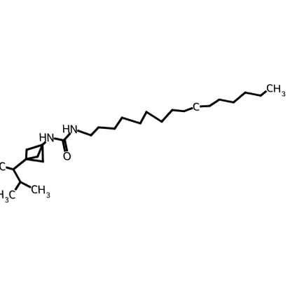 CCCCCCCCCCCCCCCCNC(=O)NC12CC(C(C)C(C)C)(C1)C2